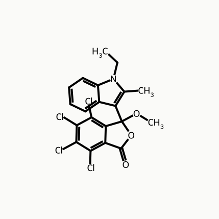 CCn1c(C)c(C2(OC)OC(=O)c3c(Cl)c(Cl)c(Cl)c(Cl)c32)c2ccccc21